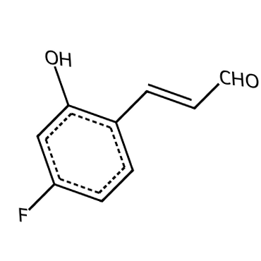 O=CC=Cc1ccc(F)cc1O